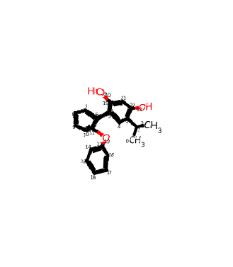 CC(C)c1cc(-c2ccccc2Oc2ccccc2)c(O)cc1O